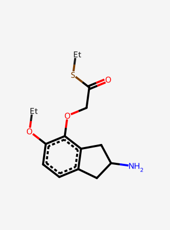 CCOc1ccc2c(c1OCC(=O)SCC)CC(N)C2